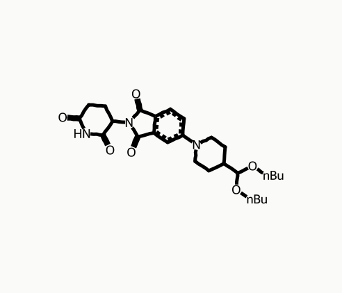 CCCCOC(OCCCC)C1CCN(c2ccc3c(c2)C(=O)N(C2CCC(=O)NC2=O)C3=O)CC1